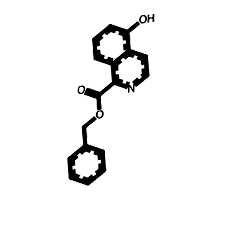 O=C(OCc1ccccc1)c1nccc2c(O)cccc12